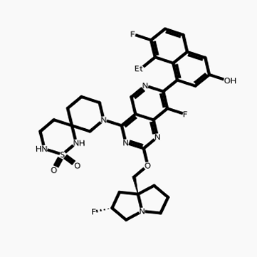 CCc1c(F)ccc2cc(O)cc(-c3ncc4c(N5CCCC6(CCNS(=O)(=O)N6)C5)nc(OC[C@@]56CCCN5C[C@H](F)C6)nc4c3F)c12